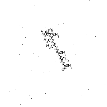 CC1=C(/C=C/C(C)=C/C=C/C(C)=C/C=C/C=C(C)/C=C/C=C(C)/C=C/C=C(\C)C=O)C(C)(C)CCC1